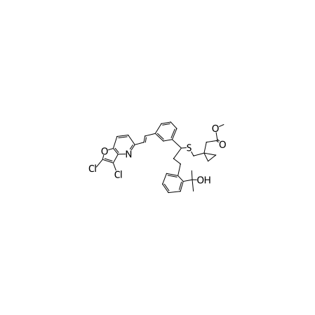 COC(=O)CC1(CSC(CCc2ccccc2C(C)(C)O)c2cccc(/C=C/c3ccc4oc(Cl)c(Cl)c4n3)c2)CC1